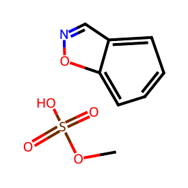 COS(=O)(=O)O.c1ccc2oncc2c1